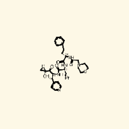 CC(C)C[C@H](NC(=O)[C@H](CCc1ccccc1)NC(=O)CN1CCOCC1)C(=O)N[C@@H](Cc1ccncc1)C(=O)[C@@]1(C)CO1